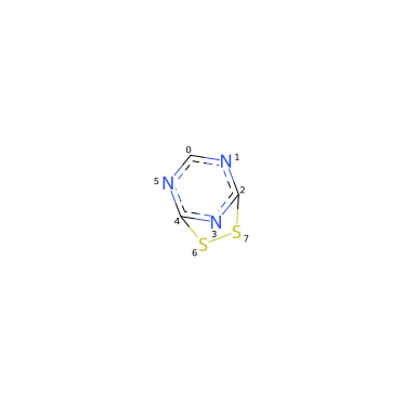 c1nc2nc(n1)SS2